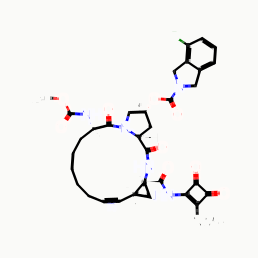 CNc1c(NC(=O)[C@@]23C[C@H]2/C=C\CCCCC[C@H](NC(=O)OC(C)(C)C)C(=O)N2C[C@H](OC(=O)N4Cc5cccc(F)c5C4)C[C@H]2C(=O)N3)c(=O)c1=O